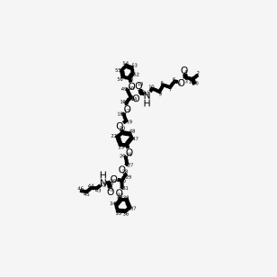 C=C(C)C(=O)OCCCCCNC(=O)OC(COCCOc1ccc(OCCOCC(COc2ccccc2)OC(=O)NCCCC)cc1)COc1ccccc1